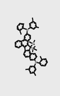 Cc1cc(C)cc(N(c2ccc3c4c(ccc3c2)-c2c(c3ccc(N(c5cc(C)cc(C)c5)c5ccccc5C)cc3c3ccccc23)C4([Si](C)(C)C)[Si](C)(C)C)c2ccccc2C)c1